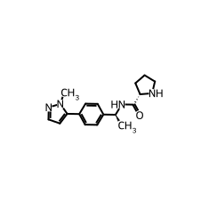 C[C@H](NC(=O)[C@@H]1CCCN1)c1ccc(-c2ccnn2C)cc1